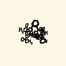 CC(=O)OCC(C)(C)C(=O)Oc1ccccc1C1OP(=O)(O)C(O)(Cc2cccnc2)P(=O)(O)O1